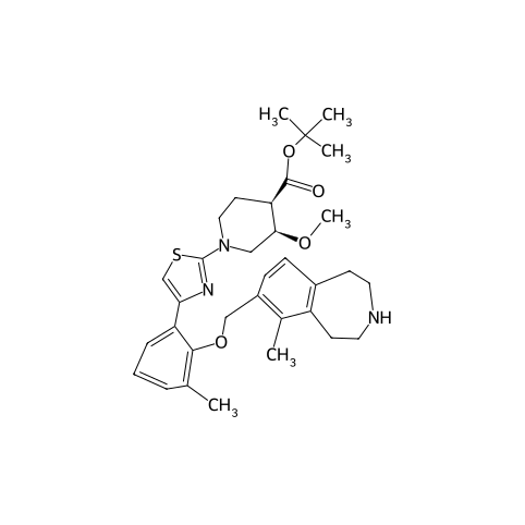 CO[C@H]1CN(c2nc(-c3cccc(C)c3OCc3ccc4c(c3C)CCNCC4)cs2)CC[C@H]1C(=O)OC(C)(C)C